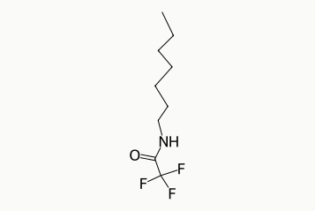 CCCCCCCNC(=O)C(F)(F)F